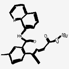 C=C(/C=C/C(=O)OC(C)(C)C)c1ccc(C)cc1C(=O)Nc1cccc2cccnc12